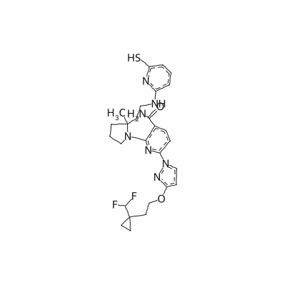 CC1(CCNc2cccc(S)n2)CCCN1c1nc(-n2ccc(OCCC3(C(F)F)CC3)n2)ccc1C(N)=O